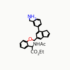 CCOC(=O)C(NC(C)=O)c1ccccc1OCc1cc2c(c(-c3cccc(CN)c3)c1)CC=C2